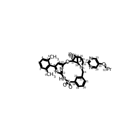 Cc1cccc(C)c1-c1cc2nc(n1)NS(=O)(=O)c1cccc(c1)CN1[C@@H](c3ncc(OC(C)C)cn3)CC[C@@H](O2)[C@H]1CC(C)C